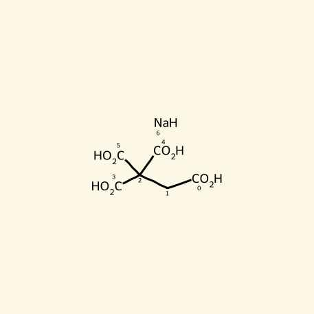 O=C(O)CC(C(=O)O)(C(=O)O)C(=O)O.[NaH]